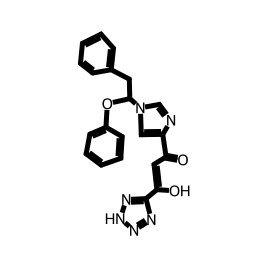 O=C(C=C(O)c1nn[nH]n1)c1cn(C(Cc2ccccc2)Oc2ccccc2)cn1